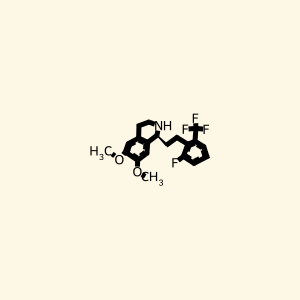 COc1cc2c(cc1OC)[C@H](CCc1c(F)cccc1C(F)(F)F)NCC2